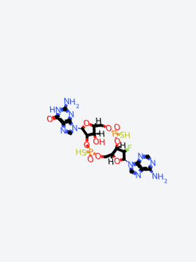 Nc1nc2c(ncn2[C@@H]2O[C@@H]3COP(=O)(S)O[C@@H]4C(F)[C@H](n5cnc6c(N)ncnc65)O[C@@H]4COP(=O)(S)OC2[C@H]3O)c(=O)[nH]1